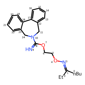 CCCCC(CC)=NOCCOC(=N)N1Cc2ccccc2-c2ccccc2C1